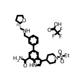 CCS(=O)(=O)N1CCC(c2c[nH]c3c(C(N)=O)cc(-c4cccc(CNC[C@@H]5CCCO5)c4)cc23)CC1.O=C(O)C(F)(F)F